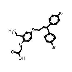 CCc1cc(SCC=C(c2ccc(Br)cc2)c2ccc(Br)cc2)ccc1OCC(=O)O